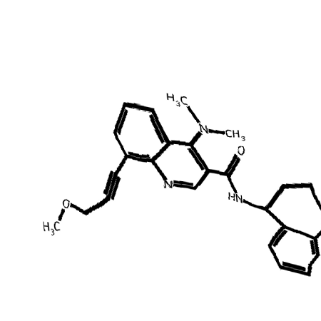 COCC#Cc1cccc2c(N(C)C)c(C(=O)NC3CCOc4ccccc43)cnc12